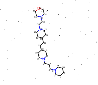 C1CCN(CCCN2CCC(CCC3CCN(CCN4CCOCC4)CC3)CC2)CC1